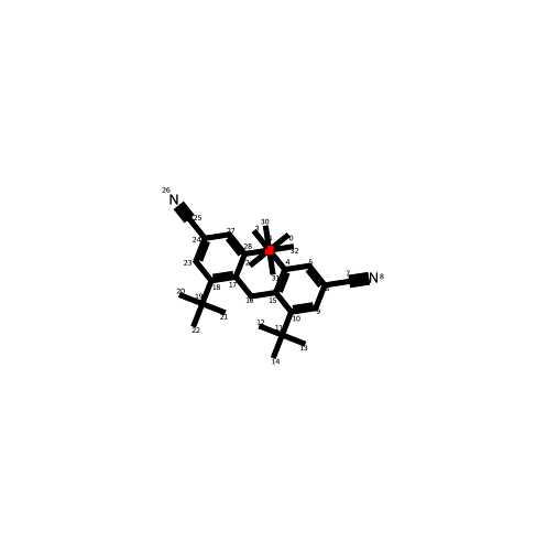 CC(C)(C)c1cc(C#N)cc(C(C)(C)C)c1Cc1c(C(C)(C)C)cc(C#N)cc1C(C)(C)C